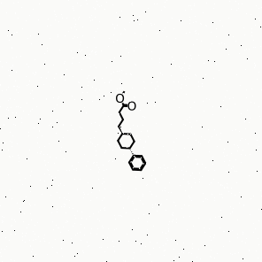 COC(=O)CCC[C@H]1CC[C@H](c2ccccc2)CC1